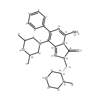 CC1CN(c2c(-c3ccccc3)nc(N)n3c(=O)n(C[C@H]4COCCN4C)nc23)CC(C)O1